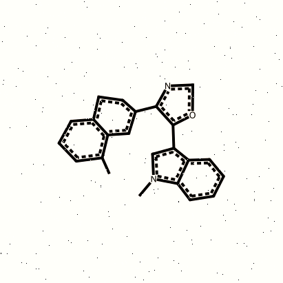 Cc1cccc2ccc(-c3ncoc3-c3cn(C)c4ccccc34)cc12